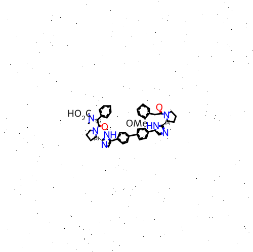 COc1ccccc1CC(=O)N1CCC[C@H]1c1ncc(-c2ccc(-c3ccc(-c4cnc([C@@H]5CCCN5C(=O)[C@@H](c5ccccc5)N(C)C(=O)O)[nH]4)cc3)cc2)[nH]1